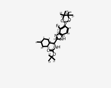 CC1CCC([C@H](NC(=O)OC(C)(C)C)c2nc3c(F)c(B4OC(C)(C)C(C)(C)O4)ccc3[nH]2)CC1